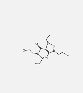 CCCc1nn(CC)c2c(=O)n(CCCl)c(CC)nc12